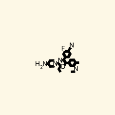 C/C=N\c1cc(/C(C)=C(/N=C(\C(=O)CC)N2CCC(N)CC2)c2ccc(C#N)c(F)c2)ccc1C